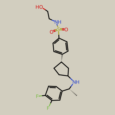 C[C@@H](NC1CC[C@H](c2ccc(S(=O)(=O)NCCO)cc2)C1)c1ccc(F)c(F)c1